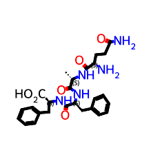 C[C@H](NC(=O)[C@@H](N)CCC(N)=O)C(=O)N[C@@H](Cc1ccccc1)C(=O)N[C@@H](Cc1ccccc1)C(=O)O